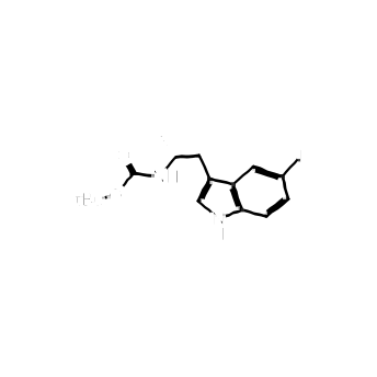 C[C@H](Cc1c[nH]c2ccc(I)cc12)NC(=O)OC(C)(C)C